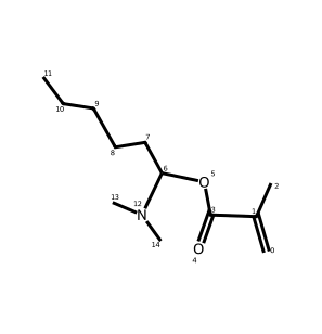 C=C(C)C(=O)OC(CCCCC)N(C)C